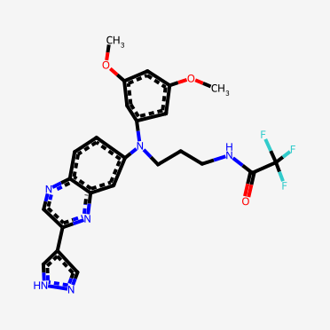 COc1cc(OC)cc(N(CCCNC(=O)C(F)(F)F)c2ccc3ncc(-c4cn[nH]c4)nc3c2)c1